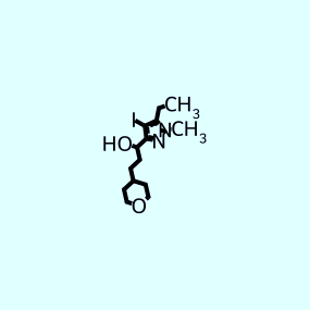 CCc1c(I)c(C(O)CCC2CCOCC2)nn1C